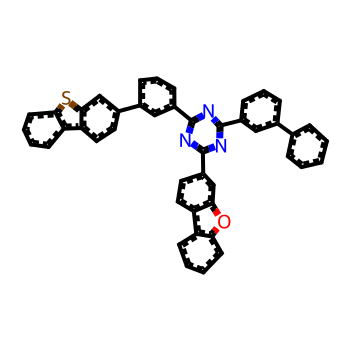 c1ccc(-c2cccc(-c3nc(-c4cccc(-c5ccc6c(c5)sc5ccccc56)c4)nc(-c4ccc5c(c4)oc4ccccc45)n3)c2)cc1